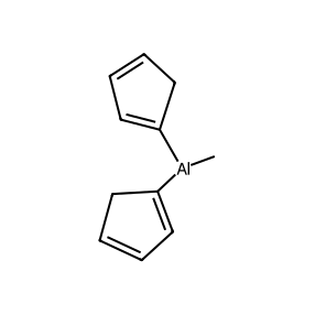 [CH3][Al]([C]1=CC=CC1)[C]1=CC=CC1